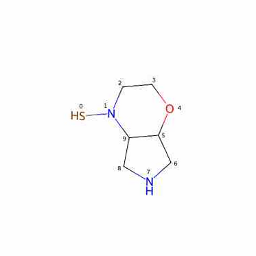 SN1CCOC2CNCC21